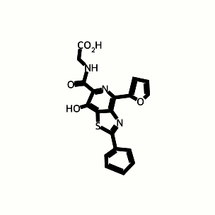 O=C(O)CNC(=O)c1nc(-c2ccco2)c2nc(-c3ccccc3)sc2c1O